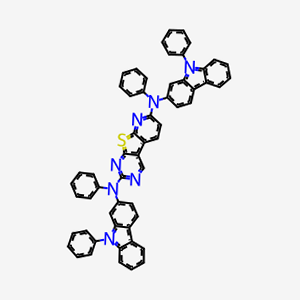 c1ccc(N(c2ccc3c4ccccc4n(-c4ccccc4)c3c2)c2ccc3c(n2)sc2nc(N(c4ccccc4)c4ccc5c6ccccc6n(-c6ccccc6)c5c4)ncc23)cc1